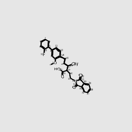 COc1cc(-c2ccccc2F)ccc1CCC(O)C(CCN1C(=O)c2ccccc2C1=O)C(=O)O